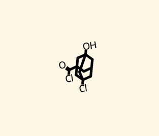 O=C(Cl)C12CC3CC(O)(CC(Cl)(C3)C1)C2